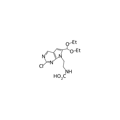 CCOC(OCC)c1cc2cnc(Cl)nc2n1CCNC(=O)O